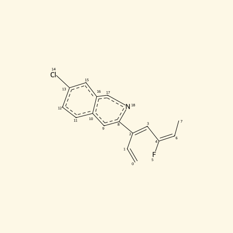 C=C/C(=C\C(F)=C/C)c1cc2ccc(Cl)cc2cn1